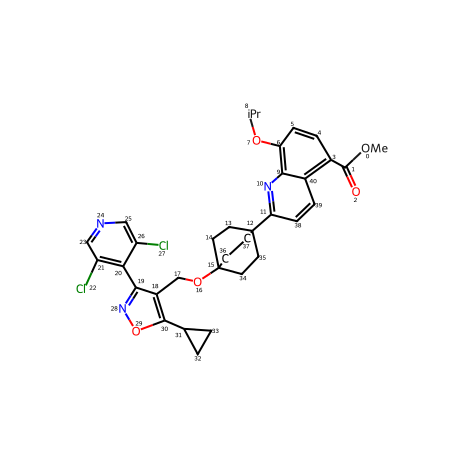 COC(=O)c1ccc(OC(C)C)c2nc(C34CCC(OCc5c(-c6c(Cl)cncc6Cl)noc5C5CC5)(CC3)CC4)ccc12